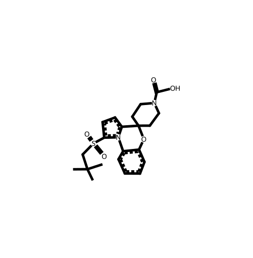 CC(C)(C)CS(=O)(=O)c1ccc2n1-c1ccccc1OC21CCN(C(=O)O)CC1